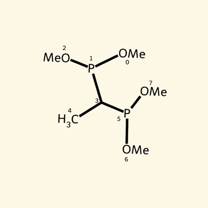 COP(OC)C(C)P(OC)OC